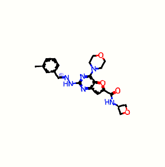 Cc1cccc(/C=N/Nc2nc(N3CCOCC3)c3oc(C(=O)NC4COC4)cc3n2)c1